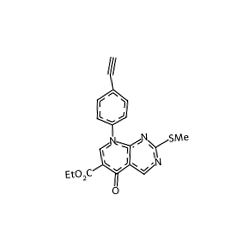 C#Cc1ccc(-n2cc(C(=O)OCC)c(=O)c3cnc(SC)nc32)cc1